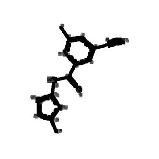 Cc1cc(C#N)cc(C(=O)Nc2nc(C)cs2)n1